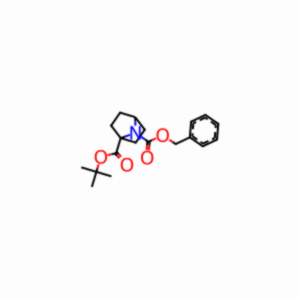 CC(C)(C)OC(=O)C12CCC(CC1)N2C(=O)OCc1ccccc1